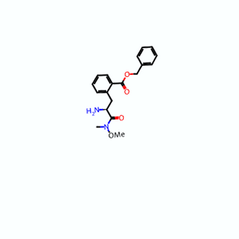 CON(C)C(=O)[C@@H](N)Cc1ccccc1C(=O)OCc1ccccc1